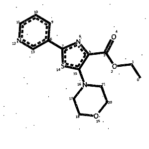 CCOC(=O)c1nc(-c2cccnc2)sc1N1CCOCC1